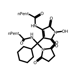 CCCCCC(=O)NC1=C(C(NC(=O)CCCCC)(C2CCCCC2)N2C(=O)CCC2=O)C(=O)N(O)C1=O